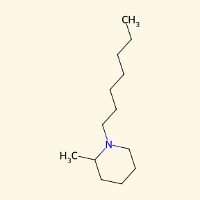 CCCCCCCN1CCCCC1C